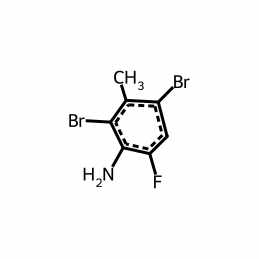 Cc1c(Br)cc(F)c(N)c1Br